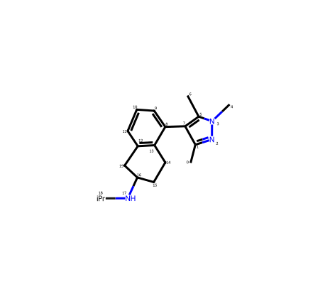 Cc1nn(C)c(C)c1-c1cccc2c1CCC(NC(C)C)C2